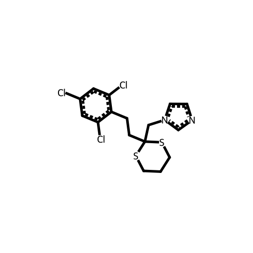 Clc1cc(Cl)c(CCC2(Cn3ccnc3)SCCCS2)c(Cl)c1